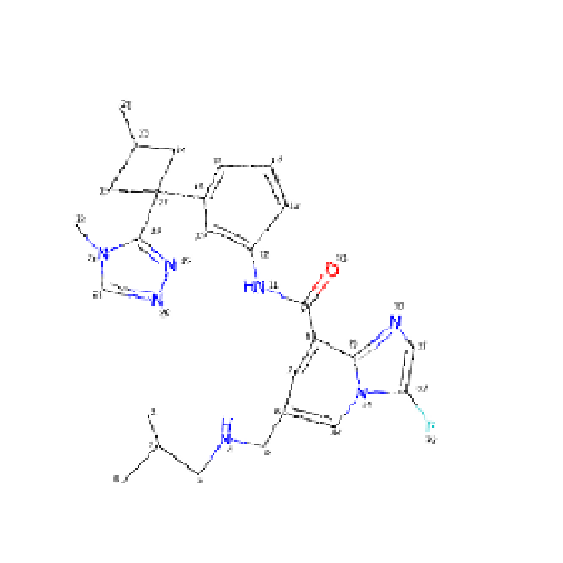 CC(C)CNCc1cc(C(=O)Nc2cccc(C3(c4nncn4C)CC(C)C3)c2)c2ncc(F)n2c1